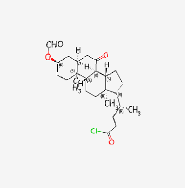 C[C@H](CCC(=O)Cl)[C@H]1CC[C@H]2[C@@H]3C(=O)C[C@@H]4C[C@H](OC=O)CC[C@]4(C)[C@H]3CC[C@]12C